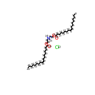 CCCCCCCC/C=C\CCCCCCCC(=O)OCC[N+](C)(C)CCOC(=O)CCCCCCC/C=C\CCCCCCCC.[Cl-]